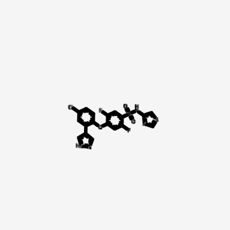 O=S(=O)(Nc1cscn1)c1cc(F)c(Oc2ccc(Cl)cc2-c2cn[nH]c2)cc1F